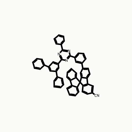 N#Cc1ccc2c(c1)-c1ccc(-c3cccc(-c4nc(-c5ccccc5)nc(-c5cc(-c6ccccc6)cc(-c6ccccc6)c5)n4)c3)cc1C21c2ccccc2-c2ccccc21